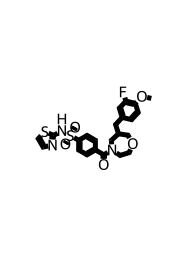 COc1ccc(CC2COCCN(C(=O)c3ccc(S(=O)(=O)Nc4nccs4)cc3)C2)cc1F